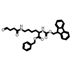 O=CCCC(=O)NCCCCC(NC(=O)OCC1c2ccccc2-c2ccccc21)C(=O)OCc1ccccc1